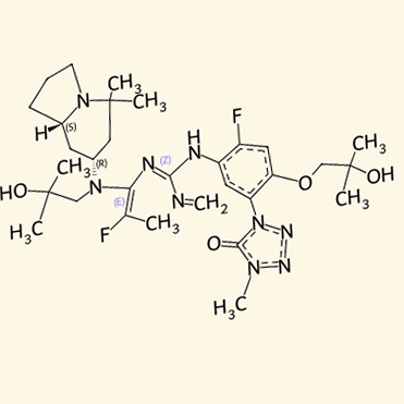 C=N/C(=N\C(=C(/C)F)N(CC(C)(C)O)[C@@H]1C[C@@H]2CCCN2C(C)(C)C1)Nc1cc(-n2nnn(C)c2=O)c(OCC(C)(C)O)cc1F